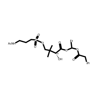 CCC(OC(=O)CC(C)C)OC(=O)[C@H](O)C(C)(C)COS(=O)(=O)CCCNC(C)=O